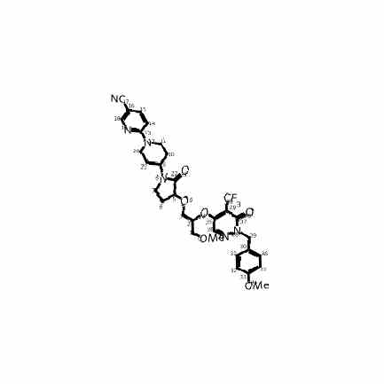 COCC(COC1CCN(C2CCN(c3ccc(C#N)cn3)CC2)C1=O)Oc1cnn(Cc2ccc(OC)cc2)c(=O)c1C(F)(F)F